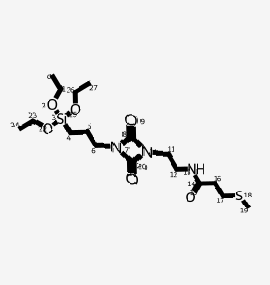 CCO[Si](CCCN1C(=O)N(CCNC(=O)CCSC)C1=O)(OCC)OCC